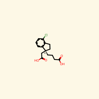 O=C(O)CCC[C@]1(CC(=O)O)CCc2c(Cl)cccc21